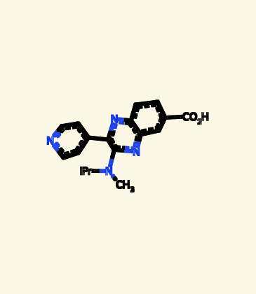 CC(C)N(C)c1nc2cc(C(=O)O)ccc2nc1-c1ccncc1